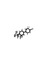 CC1CCC(C2CCC(C(F)(F)F)C(F)C2)CC1